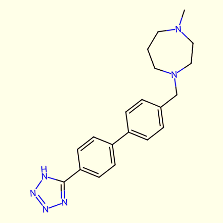 CN1CCCN(Cc2ccc(-c3ccc(-c4nnn[nH]4)cc3)cc2)CC1